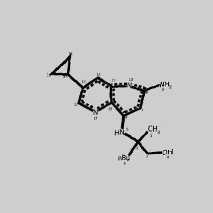 CCCCC(C)(CO)Nc1cc(N)nc2cc(C3CC3)cnc12